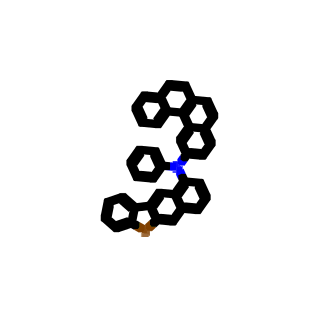 c1ccc(N(c2ccc3ccc4ccc5ccccc5c4c3c2)c2cccc3cc4sc5ccccc5c4cc23)cc1